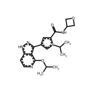 CC(C)Oc1nccc2[nH]nc(-c3cc(C(=O)NC4COC4)n(C(C)C)c3)c12